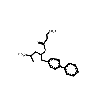 CCOC(=O)C(C)CC(Cc1ccc(-c2ccccc2)cc1)NC(=O)CCC(=O)O